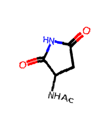 CC(=O)NC1CC(=O)NC1=O